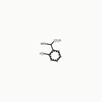 CCOC(=O)C(SC)c1ccccc1N